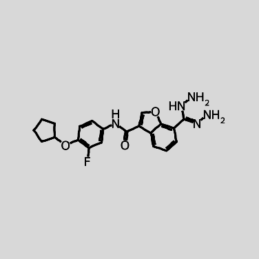 N/N=C(\NN)c1cccc2c(C(=O)Nc3ccc(OC4CCCC4)c(F)c3)coc12